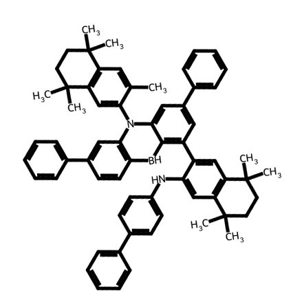 Cc1cc2c(cc1N1c3cc(-c4ccccc4)ccc3Bc3c(-c4cc5c(cc4Nc4ccc(-c6ccccc6)cc4)C(C)(C)CCC5(C)C)cc(-c4ccccc4)cc31)C(C)(C)CCC2(C)C